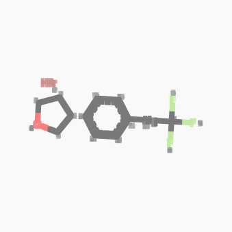 Br.C1CCOC1.F[C](F)(F)[Mg][c]1ccccc1